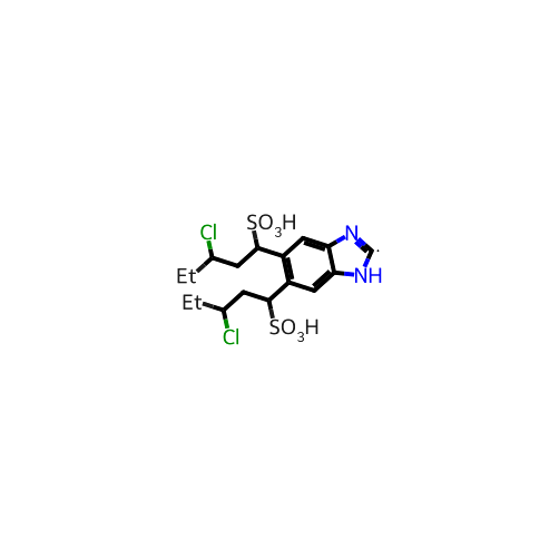 CCC(Cl)CC(c1cc2n[c][nH]c2cc1C(CC(Cl)CC)S(=O)(=O)O)S(=O)(=O)O